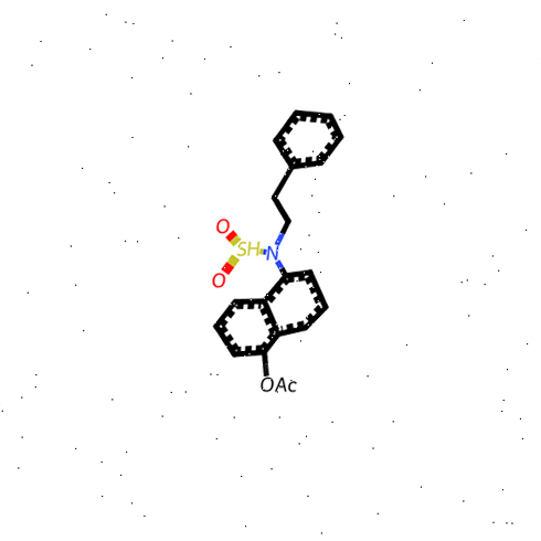 CC(=O)Oc1cccc2c(N(CCc3ccccc3)[SH](=O)=O)cccc12